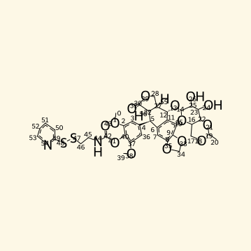 COc1cc([C@@H]2c3cc4c(cc3[C@@H](OC3OC5COC(C)OC5C(O)C3O)[C@H]3COC(=O)[C@H]23)OCO4)cc(OC)c1OC(=O)NCCSSc1ccccn1